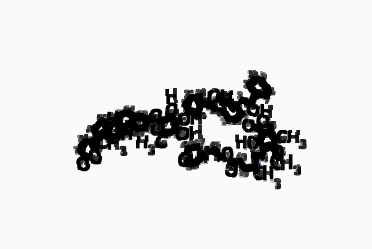 CN1[C@@H](C[C@@H](O)c2ccccc2)CCC[C@H]1C[C@H](O)c1ccccc1.COc1c(C)c2c(c(O)c1C/C=C(\C)CCC(=O)OCCN1CCOCC1)C(=O)OC2.C[C@@H]1O[C@@H](O[C@@H]2C=C3CC[C@@H]4[C@H](CC[C@]5(C)[C@@H](c6ccc(=O)oc6)CC[C@]45O)[C@@]3(C)CC2)[C@H](O)[C@H](O)[C@H]1O